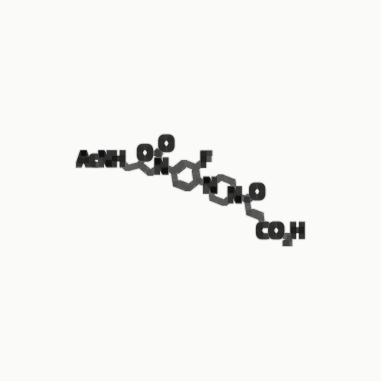 CC(=O)NCC1CN(c2ccc(N3CCN(C(=O)C=CC(=O)O)CC3)c(F)c2)C(=O)O1